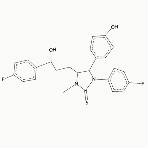 CN1C(=S)N(c2ccc(F)cc2)C(c2ccc(O)cc2)C1CCC(O)c1ccc(F)cc1